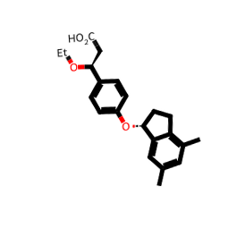 CCO[C@@H](CC(=O)O)c1ccc(O[C@@H]2CCc3c(C)cc(C)cc32)cc1